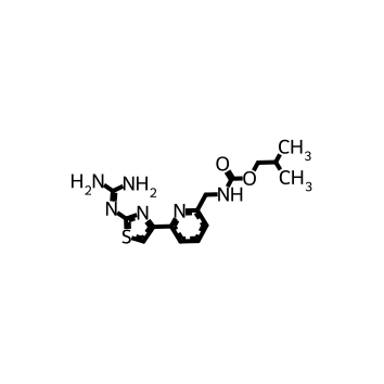 CC(C)COC(=O)NCc1cccc(-c2csc(N=C(N)N)n2)n1